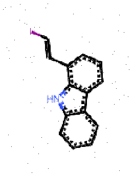 IC=Cc1cccc2c1[nH]c1ccccc12